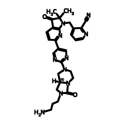 CC1(C)C(=O)c2ccc(-c3cnc(N4CCN5C(=O)N(CCCN)C[C@@H]5C4)nc3)nc2N1Cc1cccnc1C#N